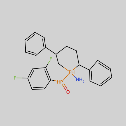 N[PH]1([PH](=O)c2ccc(F)cc2F)CC(c2ccccc2)CCC1c1ccccc1